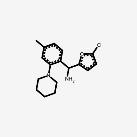 Cc1ccc(C(N)c2ccc(Cl)o2)c(N2CCCCC2)c1